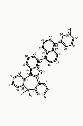 CC1(C)c2ccccc2-c2sc3c(-c4cccc5c(C6=CC=CNC6)cccc45)cccc3c2-c2ccccc21